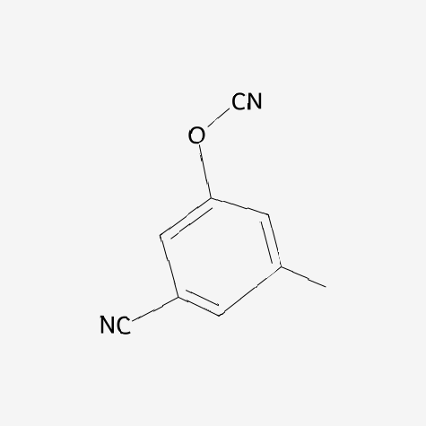 Cc1cc(C#N)cc(OC#N)c1